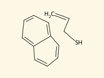 C=CCS.c1ccc2ccccc2c1